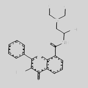 CCN(CC)CC(C)NC(=O)c1cccc2c(=O)c(C)c(-c3ccccc3)oc12